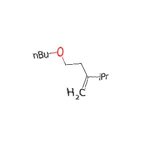 C=C(CCOCCCC)C(C)C